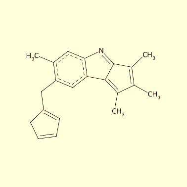 CC1=C(C)C(C)=C2C1=Nc1cc(C)c(CC3=CC=CC3)cc12